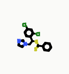 S=C(SC(Cn1ccnc1)c1ccc(Cl)cc1Cl)c1ccccc1